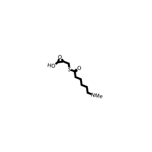 CNCCCCCC(=O)SCC1OC1O